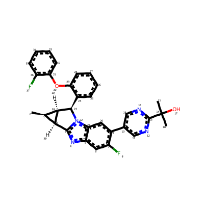 C[C@@H]1[C@@H]2c3nc4cc(F)c(-c5cnc(C(C)(C)O)nc5)cc4n3[C@H](c3ccccc3Oc3ccccc3F)[C@H]12